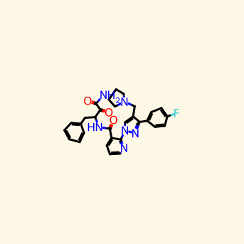 NC(=O)C(=O)C(Cc1ccccc1)NC(=O)c1cccnc1-n1cc(CN2CCCC2)c(-c2ccc(F)cc2)n1